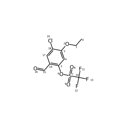 CCOc1cc(OS(=O)(=O)C(F)(F)F)c(C=O)cc1Cl